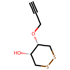 C#CCO[C@@H]1CSSC[C@@H]1O